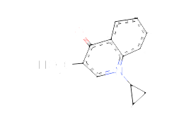 O=C(O)c1[c]n(C2CC2)c2ccccc2c1=O